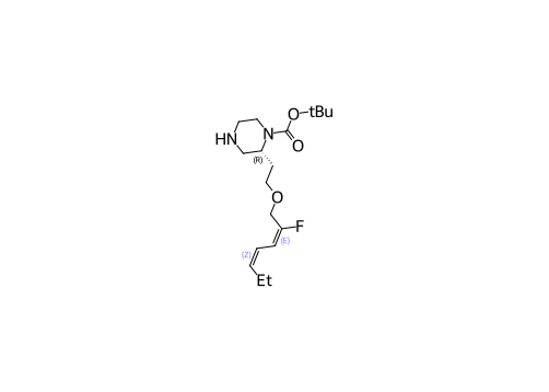 CC/C=C\C=C(\F)COCC[C@@H]1CNCCN1C(=O)OC(C)(C)C